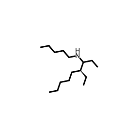 CCCCCNC(CC)[C@@H](CC)CCCCC